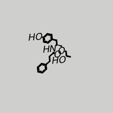 CC(O)COC[C@H](Cc1ccc(O)cc1)NC(=O)CCc1ccccc1